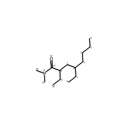 CCCCC(CC)CC(CC)C(=O)N(C)C